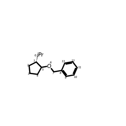 CC(C)[C@H]1CCCC1OCc1ccccc1